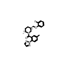 Cc1ccc(-n2nccn2)c(C(=O)N2C[C@H](COc3ccccc3F)CC[C@H]2C)c1